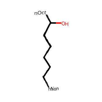 CCCCCCCCCCCCCCC(O)CCCCCCCC